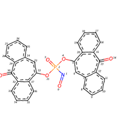 O=NP(=O)(Oc1cc2ccccc2c(=O)c2ccccc12)Oc1cc2ccccc2c(=O)c2ccccc12